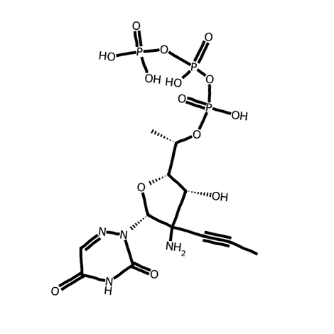 CC#CC1(N)[C@@H](O)[C@@H]([C@H](C)OP(=O)(O)OP(=O)(O)OP(=O)(O)O)O[C@H]1n1ncc(=O)[nH]c1=O